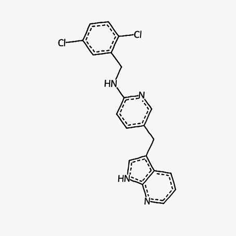 Clc1ccc(Cl)c(CNc2ccc(Cc3c[nH]c4ncccc34)cn2)c1